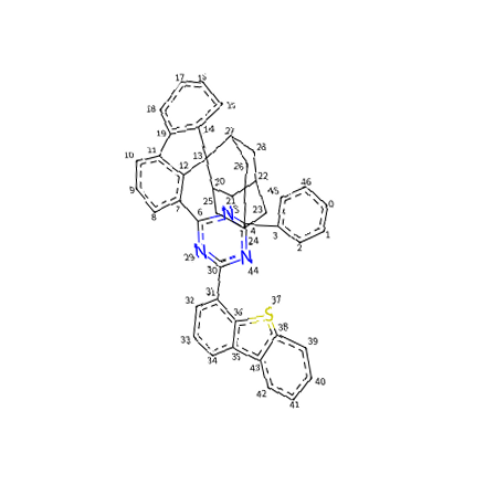 c1ccc(-c2nc(-c3cccc4c3C3(c5ccccc5-4)C4CC5CC(C4)CC3C5)nc(-c3cccc4c3sc3ccccc34)n2)cc1